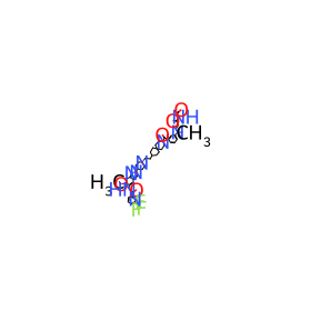 COc1cc2nn(C3CCN(CCC4CCC5(CC4)CCN(C(=O)c4cccc(N(C)CCC(=O)NC=O)c4)CC5)CC3)cc2cc1NC(=O)c1cccc(C(F)(F)F)n1